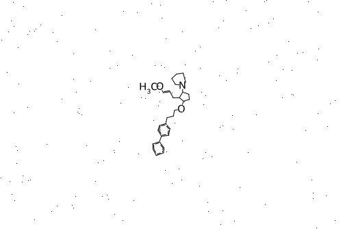 COC=CCC1C(OCCCc2ccc(-c3ccccc3)cc2)CCC1N1CCCCC1